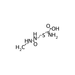 C=CCNC(=O)NCCSC[C@@H](N)C(=O)O